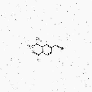 CN(C)c1cc(C=N)ccc1[N+](=O)[O-]